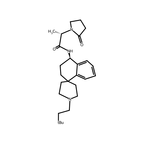 C[C@@H](C(=O)N[C@@H]1CCC2(CCN(CCC(C)(C)C)CC2)c2ccccc21)N1CCCC1=O